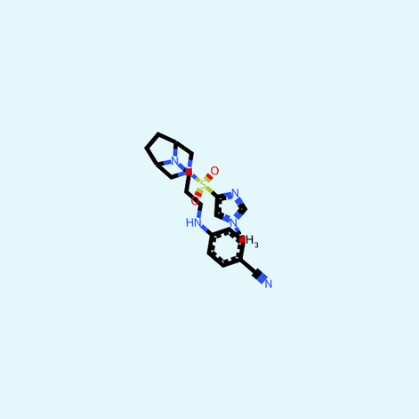 Cn1cnc(S(=O)(=O)N2CC3CCC(C2)N3CCCNc2ccc(C#N)cc2)c1